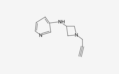 C#CCN1CC(Nc2cccnc2)C1